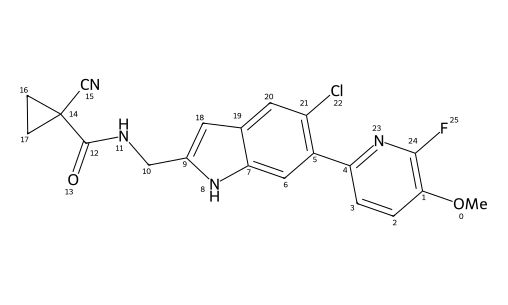 COc1ccc(-c2cc3[nH]c(CNC(=O)C4(C#N)CC4)cc3cc2Cl)nc1F